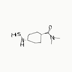 CN(C)C(=O)[C@H]1CC[C@H](NS)CC1